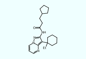 CCC1(c2c(NC(=O)CCC3CCCC3)nn3cccnc23)CCCCC1